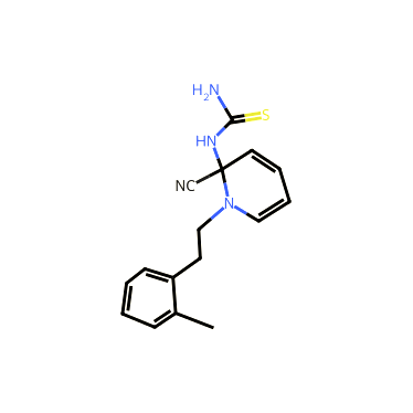 Cc1ccccc1CCN1C=CC=CC1(C#N)NC(N)=S